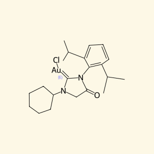 CC(C)c1cccc(C(C)C)c1N1C(=O)CN(C2CCCCC2)/[C]1=[Au]\[Cl]